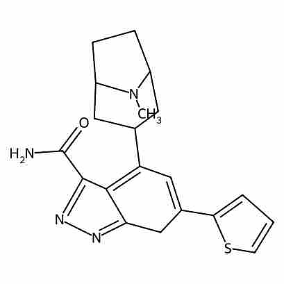 CN1C2CCC1CC(C1=C3C(=NN=C3C(N)=O)CC(c3cccs3)=C1)C2